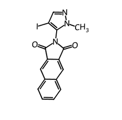 Cn1ncc(I)c1N1C(=O)c2cc3ccccc3cc2C1=O